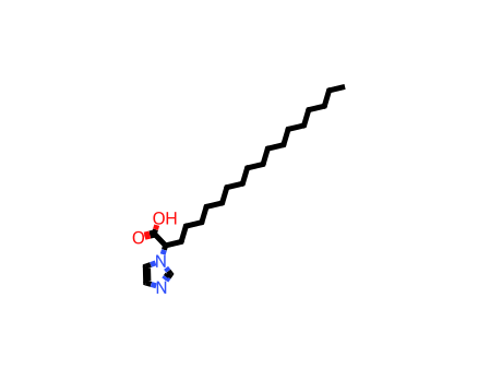 CCCCCCCCCCCCCCCCCC(C(=O)O)n1ccnc1